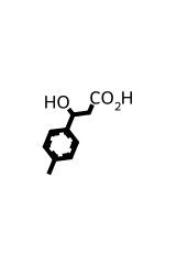 Cc1ccc(C(O)CC(=O)O)cc1